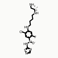 C[C@@H](CN)NCCCCNc1cc(F)c([S+]([O-])Nc2ncns2)cc1Cl